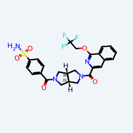 NS(=O)(=O)c1ccc(C(=O)N2C[C@@H]3CN(C(=O)c4cc5ccccc5c(OCC(F)(F)F)n4)C[C@@H]3C2)cc1